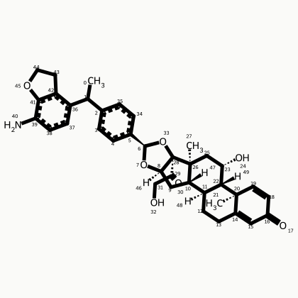 CC(c1ccc([C@@H]2O[C@@H]3C[C@H]4[C@@H]5CCC6=CC(=O)C=C[C@]6(C)[C@H]5[C@@H](O)C[C@]4(C)[C@]3(C(=O)CO)O2)cc1)c1ccc(N)c2c1CCO2